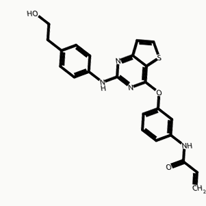 C=CC(=O)Nc1cccc(Oc2nc(Nc3ccc(CCO)cc3)nc3ccsc23)c1